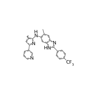 Cc1cc2nc(-c3ccc(C(F)(F)F)cc3)[nH]c2cc1Nc1nc(-c2cccnc2)cs1